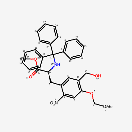 COCOc1cc([N+](=O)[O-])c(C[C@H](NC(c2ccccc2)(c2ccccc2)c2ccccc2)C(=O)OC(C)(C)C)cc1CO